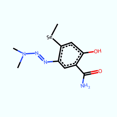 C[Se]c1cc(O)c(C(N)=O)cc1N=NN(C)C